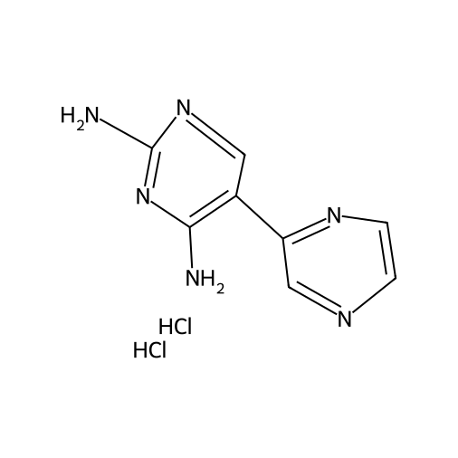 Cl.Cl.Nc1ncc(-c2cnccn2)c(N)n1